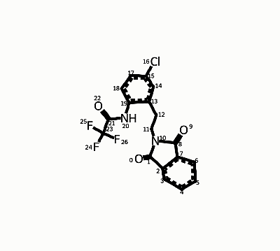 O=C1c2ccccc2C(=O)N1CCc1cc(Cl)ccc1NC(=O)C(F)(F)F